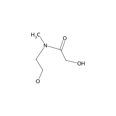 CN(CC[O])C(=O)CO